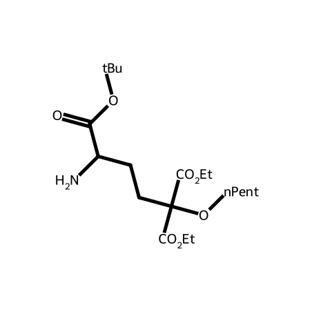 CCCCCOC(CCC(N)C(=O)OC(C)(C)C)(C(=O)OCC)C(=O)OCC